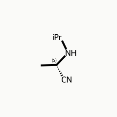 CC(C)N[C@@H](C)C#N